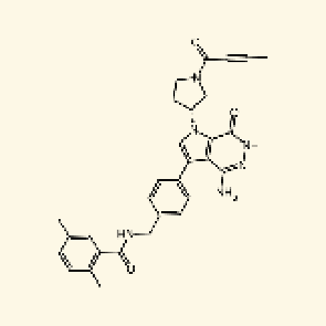 CC#CC(=O)N1CC[C@@H](n2cc(-c3ccc(CNC(=O)c4cc(C)ccc4C)cc3)c3c(N)n[nH]c(=O)c32)C1